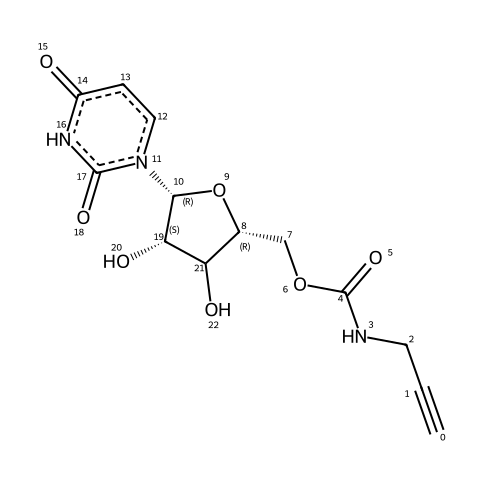 C#CCNC(=O)OC[C@H]1O[C@@H](n2ccc(=O)[nH]c2=O)[C@@H](O)C1O